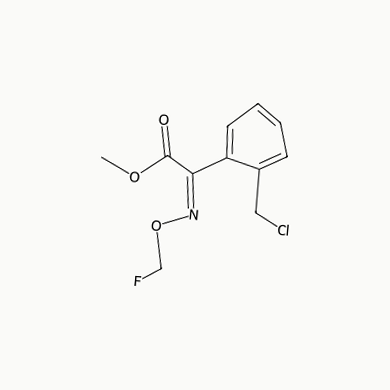 COC(=O)C(=NOCF)c1ccccc1CCl